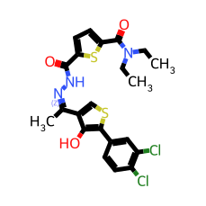 CCN(CC)C(=O)c1ccc(C(=O)N/N=C(/C)c2csc(-c3ccc(Cl)c(Cl)c3)c2O)s1